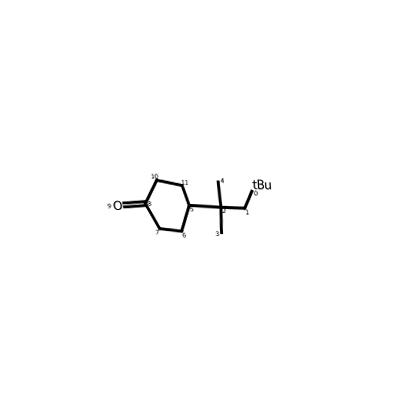 CC(C)(C)CC(C)(C)C1CCC(=O)CC1